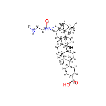 C=C(C)[C@@H]1CC[C@]2(CNC(=O)CCN(C)C)CC[C@]3(C)[C@H](CC[C@@H]4[C@@]5(C)CC=C(c6ccc(C(=O)O)cc6)C(C)(C)[C@@H]5CC[C@]43C)[C@@H]12